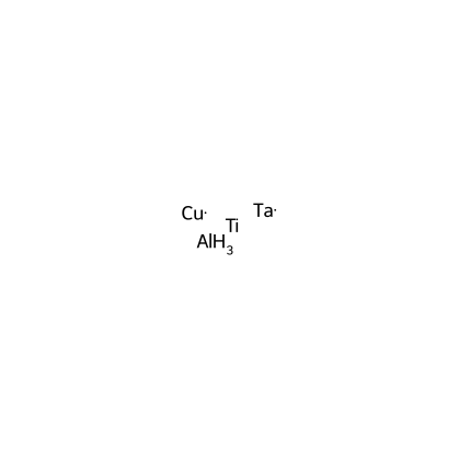 [AlH3].[Cu].[Ta].[Ti]